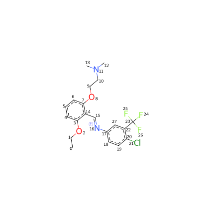 CCOc1cccc(OCCN(C)C)c1/C=N/c1ccc(Cl)c(C(F)(F)F)c1